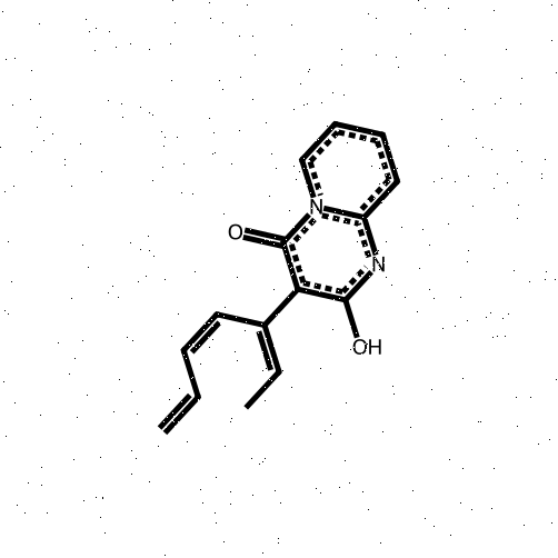 C=C/C=C\C(=C/C)c1c(O)nc2ccccn2c1=O